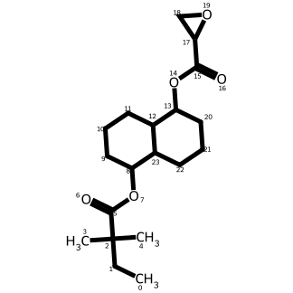 CCC(C)(C)C(=O)OC1CCCC2C(OC(=O)C3CO3)CCCC12